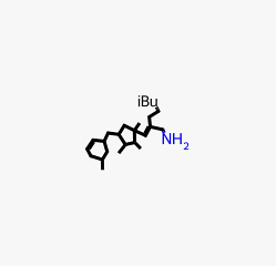 CCC(C)CC/C(=C\C1(C)CC(CC2C=CCC(C)C2)C(C)C1C)CN